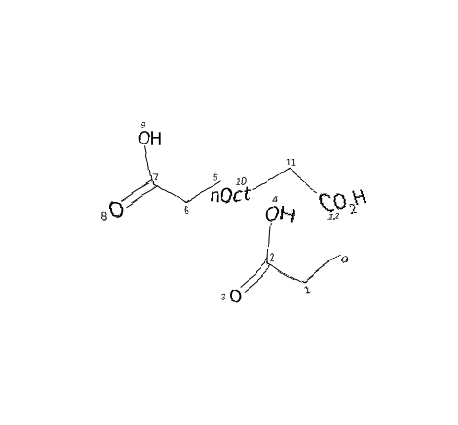 CCC(=O)O.CCC(=O)O.CCCCCCCCCC(=O)O